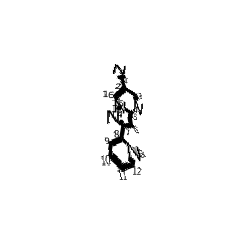 N#Cc1cnc2cc(-c3ccccn3)nn2c1